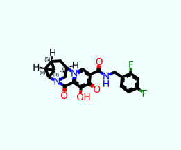 C[C@]12C3[C@@H]1[C@@H]2C[C@@H]1CN3C(=O)c2c(O)c(=O)c(C(=O)NCc3ccc(F)cc3F)cn21